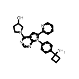 NC1(c2ccc(-n3c(-c4ccccn4)cc4c(N5CCC(O)C5)ncnc43)cc2)CCC1